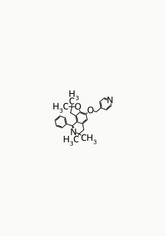 CC1(C)Cc2cc(OCc3ccncc3)c3c(c2C(c2ccccc2)=N1)CC(C)(C)O3